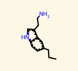 CCCc1ccc2[nH]cc(CCN)c2c1